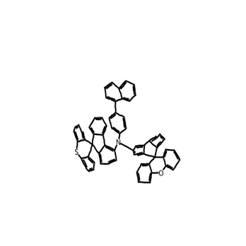 c1ccc2c(c1)Oc1ccccc1C21c2ccccc2-c2cc(N(c3ccc(-c4cccc5ccccc45)cc3)c3cccc4c3-c3ccccc3C43c4ccccc4Sc4ccccc43)ccc21